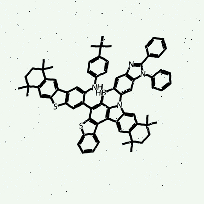 CC(C)(C)c1ccc(Nc2cc3c(cc2-c2c4c5c(c6cc7c(cc6n5-c5cc6c(cc5B4)nc(-c4ccccc4)n6-c4ccccc4)C(C)(C)CCC7(C)C)c4c2sc2ccccc24)sc2cc4c(cc23)C(C)(C)CCC4(C)C)cc1